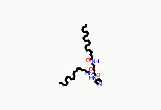 CC/C=C\C/C=C\C/C=C\C/C=C\C/C=C\C/C=C\CCC(=O)NCCCC[C@H](NC(=O)CCC/C=C\C/C=C\C/C=C\C/C=C\C/C=C\CC)C(=O)Nc1ccncc1